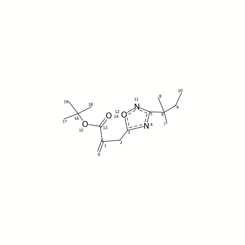 C=C(Cc1nc(C(C)(C)CC)no1)C(=O)OC(C)(C)C